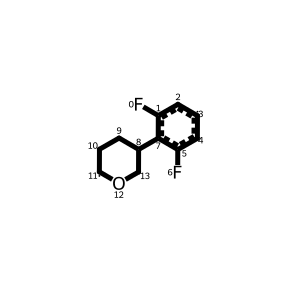 Fc1c[c]cc(F)c1C1CC[CH]OC1